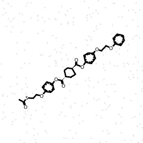 CC(=O)SCCOc1ccc(OC(=O)[C@H]2CC[C@H](C(=O)Oc3ccc(OCCOc4ccccc4)cc3)CC2)cc1